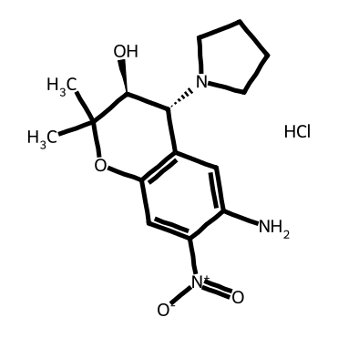 CC1(C)Oc2cc([N+](=O)[O-])c(N)cc2[C@@H](N2CCCC2)[C@@H]1O.Cl